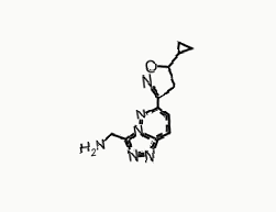 NCc1nnc2ccc(C3=NOC(C4CC4)C3)nn12